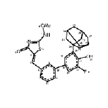 CONC1=NC(=O)C(=Cc2cccc(-c3cc(F)c(O)c(C45CC6CC(CC(C6)C4)C5)c3)c2)S1